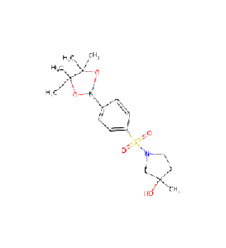 CC1(O)CCN(S(=O)(=O)c2ccc(B3OC(C)(C)C(C)(C)O3)cc2)C1